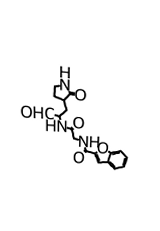 O=CC(CC1CCNC1=O)NC(=O)CNC(=O)c1cc2ccccc2o1